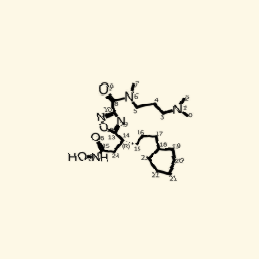 CN(C)CCCN(C)C(=O)c1noc([C@H](CCCC2CCCCC2)CC(=O)NO)n1